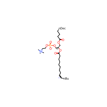 CCCC/C=C\CCCCCCCC(=O)O[C@H](COC(=O)CCCCCCCCCCCCC)COP(=O)([O-])OCC[N+](C)(C)C